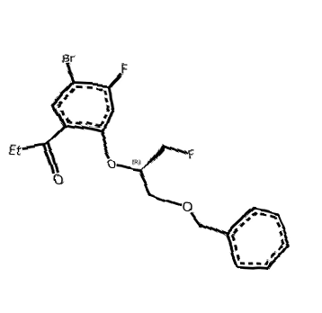 CCC(=O)c1cc(Br)c(F)cc1O[C@@H](CF)COCc1ccccc1